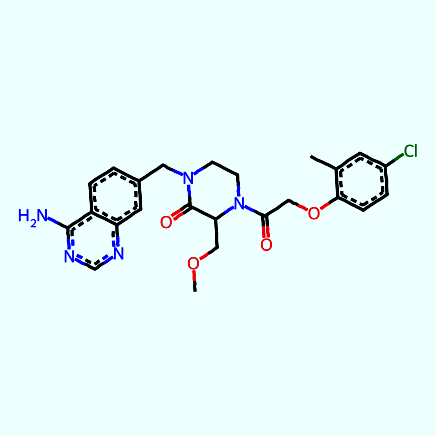 COCC1C(=O)N(Cc2ccc3c(N)ncnc3c2)CCN1C(=O)COc1ccc(Cl)cc1C